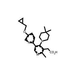 Cc1ncc(-c2ccc(OCC3CC3)cn2)c(N2CCC(C)(C)CC2)c1CC(=O)O